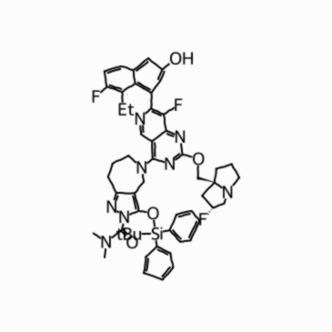 CCc1c(F)ccc2cc(O)cc(-c3ncc4c(N5CCCc6nn(C(=O)N(C)C)c(O[Si](c7ccccc7)(c7ccccc7)C(C)(C)C)c6C5)nc(OC[C@@]56CCCN5C[C@H](F)C6)nc4c3F)c12